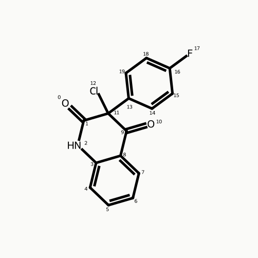 O=C1Nc2ccccc2C(=O)C1(Cl)c1ccc(F)cc1